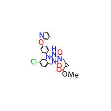 COC(=O)C1CC1Cn1c(=O)[nH]c(=Nc2ccc(Oc3ccccn3)cc2)n(Cc2ccc(Cl)cc2)c1=O